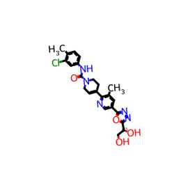 Cc1ccc(NC(=O)N2CC=C(c3ncc(-c4nnc([C@@H](O)CO)o4)cc3C)CC2)cc1Cl